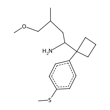 COCC(C)CC(N)C1(c2ccc(SC)cc2)CCC1